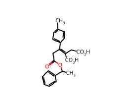 Cc1ccc(C(CC(=O)OC(C)c2ccccc2)=C(CC(=O)O)C(=O)O)cc1